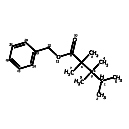 C[SH](C)[N+](C)(C)C(C)(C)C(=O)OCc1ccccc1